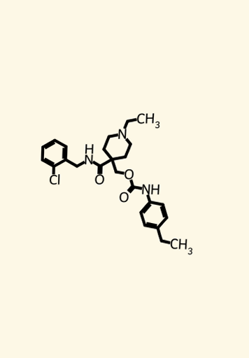 CCc1ccc(NC(=O)OCC2(C(=O)NCc3ccccc3Cl)CCN(CC)CC2)cc1